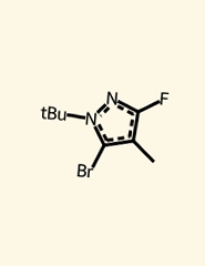 Cc1c(F)nn(C(C)(C)C)c1Br